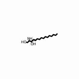 CCCCCCCCCCC/C=C/[C@@H](O)[C@@H](N)CO